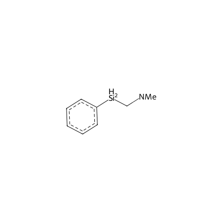 CNC[SiH2]c1ccccc1